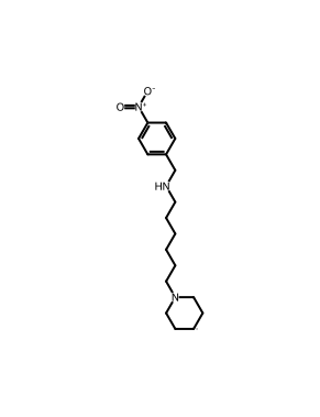 O=[N+]([O-])c1ccc(CNCCCCCCN2CC[CH]CC2)cc1